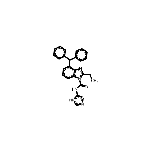 CCc1nc2c(C(c3ccccc3)c3ccccc3)cccc2n1C(=O)Nc1nnc[nH]1